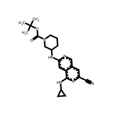 CC(C)(C)OC(=O)N1CCCC(Nc2cc3c(NC4CC4)nc(C#N)cc3cn2)C1